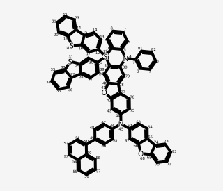 c1ccc(N2c3ccccc3[Si](c3ccc4c(c3)sc3ccccc34)(c3ccc4c(c3)sc3ccccc34)c3cc4oc5cc(N(c6ccc(-c7cccc8ccccc78)cc6)c6ccc7c(c6)oc6ccccc67)ccc5c4cc32)cc1